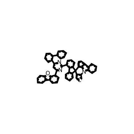 c1ccc(-c2ccccc2-c2cc(-c3cccc4c3oc3ccccc34)nc(-c3cccc4c3-c3ccccc3C43c4ccccc4-n4c5ccccc5c5cccc3c54)n2)cc1